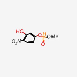 CO[PH](=O)Oc1ccc([N+](=O)[O-])c(O)c1